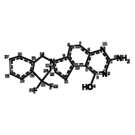 Nc1nc(O)c2c(ccc3c2ccn3Cc2ccccc2C(F)(F)F)n1